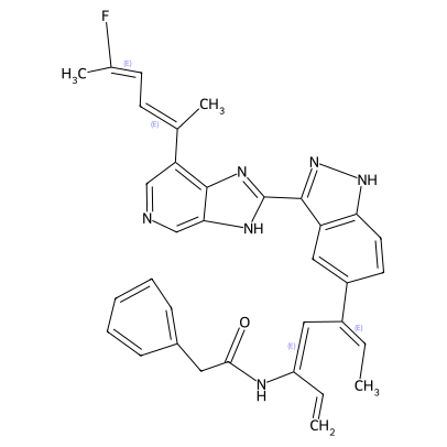 C=C/C(=C\C(=C/C)c1ccc2[nH]nc(-c3nc4c(/C(C)=C/C=C(\C)F)cncc4[nH]3)c2c1)NC(=O)Cc1ccccc1